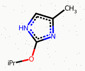 Cc1c[nH]c(OC(C)C)n1